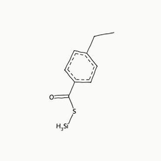 CCc1ccc(C(=O)S[SiH3])cc1